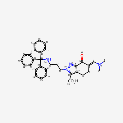 CN(C)C=C1CCc2c(nn(CCCNC(c3ccccc3)(c3ccccc3)c3ccccc3)c2C(=O)O)C1=O